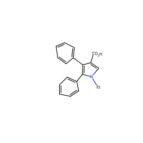 CCn1cc(C(=O)O)c(-c2ccccc2)c1-c1ccccc1